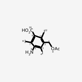 CC(=O)OCc1c(I)c(N)c(I)c(C(=O)O)c1I